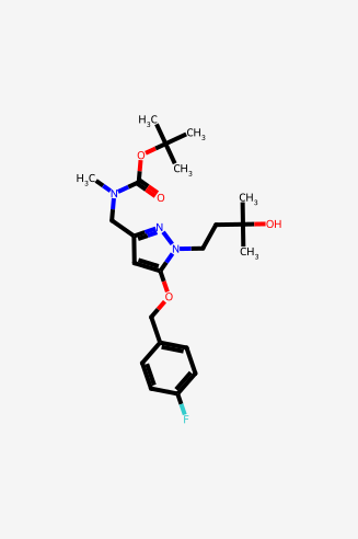 CN(Cc1cc(OCc2ccc(F)cc2)n(CCC(C)(C)O)n1)C(=O)OC(C)(C)C